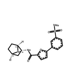 CNS(=O)(=O)c1cccc(-c2ccc(C(=O)N[C@@H]3C[C@H]4CC[C@@H]3N4)o2)c1